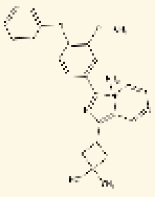 COc1cc(C2=NC(C3CC(C)(O)C3)=C3C=NC=C[N+]23N)ccc1Oc1ccccc1